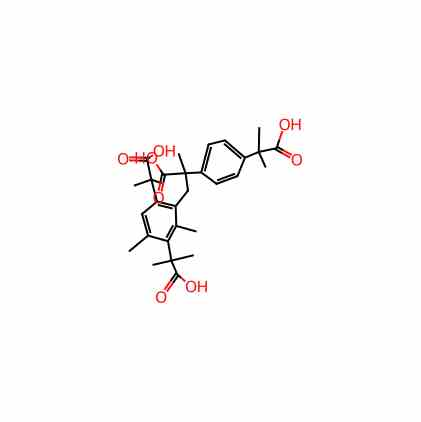 Cc1cc(C(C)(C)C(=O)O)c(CC(C)(C(=O)O)c2ccc(C(C)(C)C(=O)O)cc2)c(C)c1C(C)(C)C(=O)O